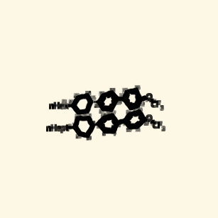 CCCCCCC[C@H]1CC[C@H](c2ccc(-c3ccc(OC(F)(F)F)cc3)cc2)CC1.CCCCCC[C@H]1CC[C@H](c2ccc(-c3ccc(OC(F)(F)F)cc3)cc2)CC1